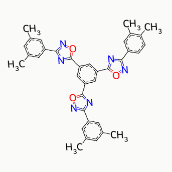 Cc1cc(C)cc(-c2noc(-c3cc(-c4nc(-c5cc(C)cc(C)c5)no4)cc(-c4nc(-c5ccc(C)c(C)c5)no4)c3)n2)c1